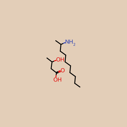 CC(O)CC(=O)O.CCCCCCCCC(C)N